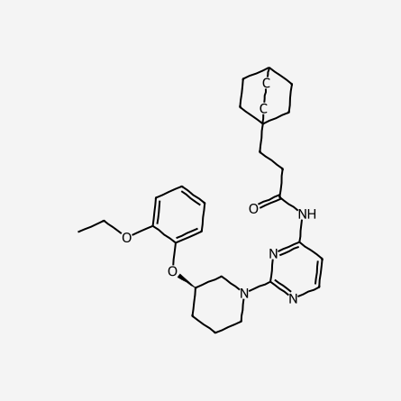 CCOc1ccccc1O[C@@H]1CCCN(c2nccc(NC(=O)CCC34CCC(CC3)CC4)n2)C1